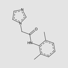 Cc1cccc(C)c1NC(=O)Cn1ccnc1